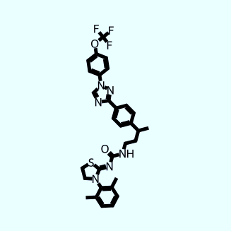 Cc1cccc(C)c1N1CCS/C1=N\C(=O)NCCC(C)c1ccc(-c2ncn(-c3ccc(OC(F)(F)F)cc3)n2)cc1